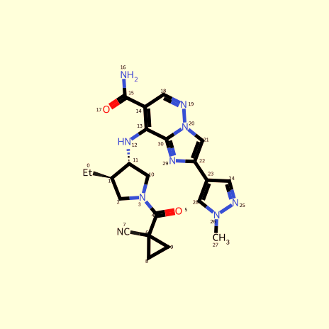 CC[C@@H]1CN(C(=O)C2(C#N)CC2)C[C@H]1Nc1c(C(N)=O)cnn2cc(-c3cnn(C)c3)nc12